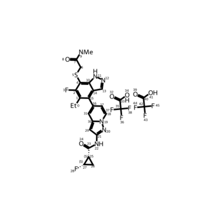 CCc1c(F)c(SCC(=O)NC)c2[nH]ncc2c1-c1ccn2nc(NC(=O)[C@@H]3C[C@@H]3F)cc2c1.O=C(O)C(F)(F)F.O=C(O)C(F)(F)F